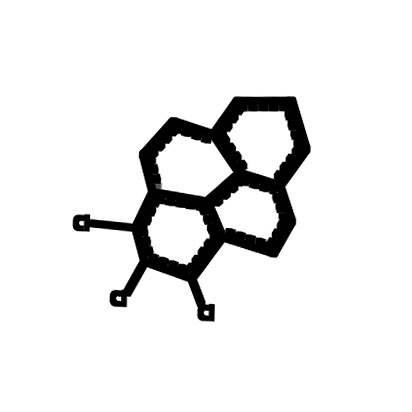 Clc1c(Cl)c2ccc3cccc4ccc(c1Cl)c2c34